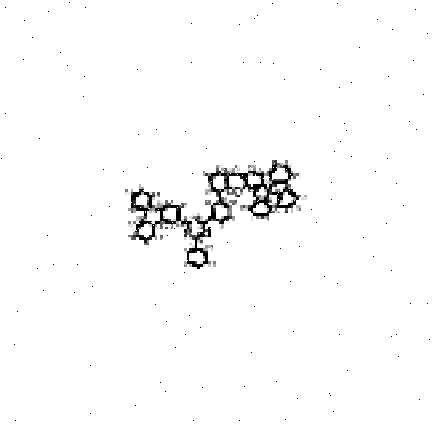 c1ccc(-c2nc(-c3cccc(-c4cccc5c4Oc4c(ccc6c4-c4ccccc4C6(c4ccccc4)c4ccccc4)O5)c3)nc(-c3ccc4c5ccccc5c5ccccc5c4c3)n2)cc1